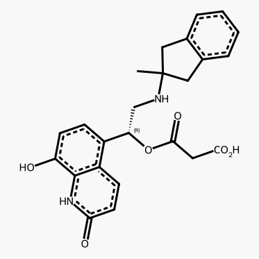 CC1(NC[C@H](OC(=O)CC(=O)O)c2ccc(O)c3[nH]c(=O)ccc23)Cc2ccccc2C1